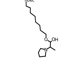 CCCCCCCCCCCCCCCCCCOC(O)C(C)N1CCCC1